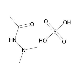 CC(=O)NN(C)C.O=S(=O)(O)O